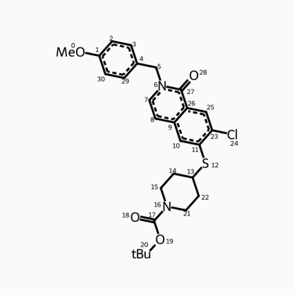 COc1ccc(Cn2ccc3cc(SC4CCN(C(=O)OC(C)(C)C)CC4)c(Cl)cc3c2=O)cc1